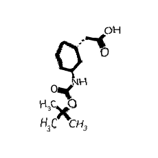 CC(C)(C)OC(=O)N[C@H]1CCC[C@H](CC(=O)O)C1